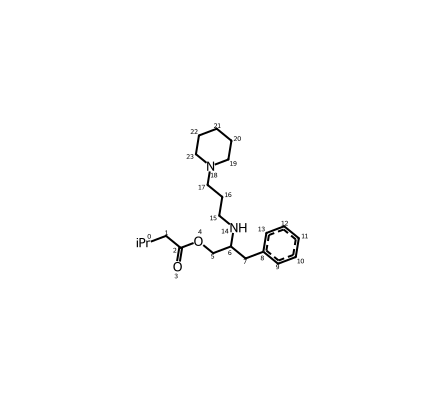 CC(C)CC(=O)OCC(Cc1ccccc1)NCCCN1CCCCC1